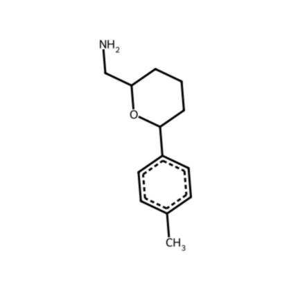 Cc1ccc(C2CCCC(CN)O2)cc1